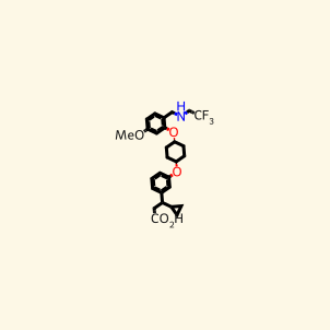 COc1ccc(CNCC(F)(F)F)c(O[C@H]2CC[C@H](Oc3cccc(C(CC(=O)O)C4CC4)c3)CC2)c1